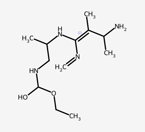 C=N/C(NC(C)CNC(O)OCC)=C(/C)C(C)N